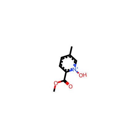 COC(=O)c1ccc(C)c[n+]1O